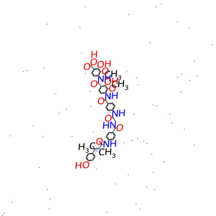 COc1c(NC(=O)c2ccc(NC(=O)c3ccc(NC(=O)CNC(=O)c4ccc(NC(=O)/C(C)=C(\C)c5ccc(O)cc5)cc4)cc3)c(OC)c2O)ccc(C(=O)O)c1O